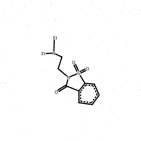 CCN(CC)CCN1C(=O)c2ccccc2S1(=O)=O